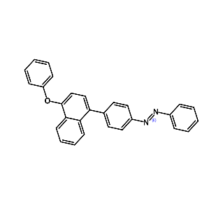 c1ccc(/N=N/c2ccc(-c3ccc(Oc4ccccc4)c4ccccc34)cc2)cc1